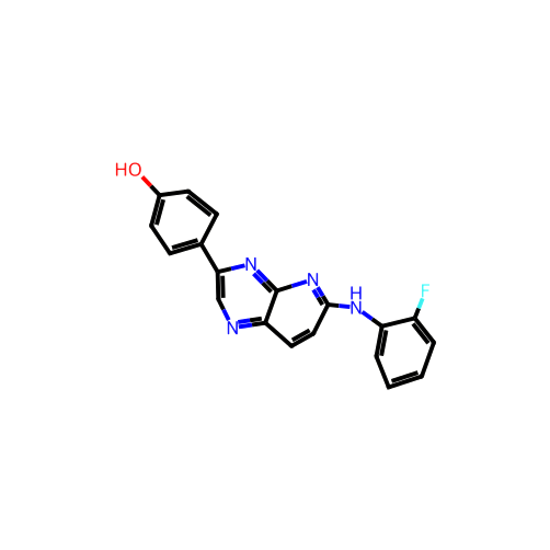 Oc1ccc(-c2cnc3ccc(Nc4ccccc4F)nc3n2)cc1